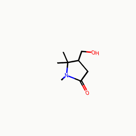 CN1C(=O)CC(CO)C1(C)C